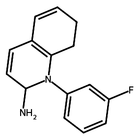 NC1C=CC2=C(CCC=C2)N1c1cccc(F)c1